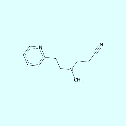 CN(CCC#N)CCc1ccccn1